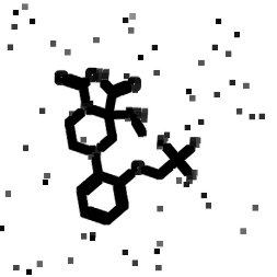 CNC1(C(C)=O)CN(c2ccccc2OCC(F)(F)F)CCN1C(=O)O